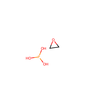 C1CO1.OP(O)O